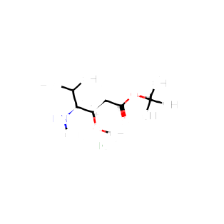 CN[C@@H](C(C)C)[C@@H](CC(=O)OC(C)(C)C)OC.Cl